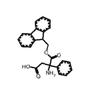 NC(CC(=O)O)(C(=O)OCC1c2ccccc2-c2ccccc21)c1ccccc1